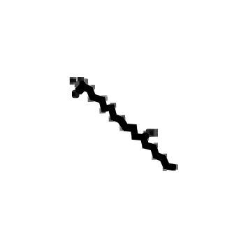 CCCCCCC(O)CC=CCCCCCCCC(N)=O